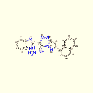 NNc1c(-c2nc3ccccc3[nH]2)nnc2cc(-c3cccc4ccccc34)nn12